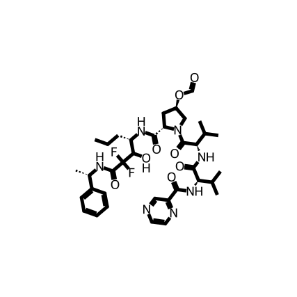 CCC[C@H](NC(=O)[C@@H]1C[C@@H](OC=O)CN1C(=O)[C@@H](NC(=O)[C@@H](NC(=O)c1cnccn1)C(C)C)C(C)C)C(O)C(F)(F)C(=O)N[C@@H](C)c1ccccc1